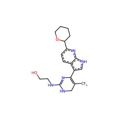 OCCNC1=NC(c2c[nH]c3nc(C4CCCCO4)ccc23)=C(C(F)(F)F)CN1